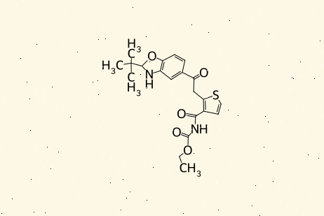 CCOC(=O)NC(=O)c1ccsc1CC(=O)c1ccc2c(c1)NC(C(C)(C)C)O2